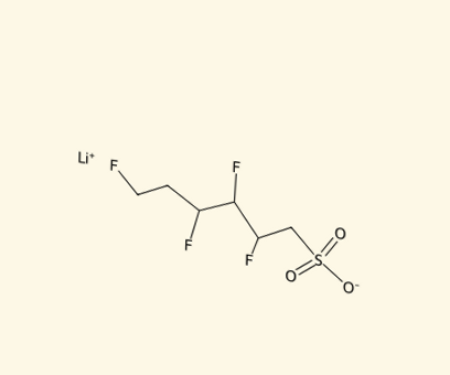 O=S(=O)([O-])CC(F)C(F)C(F)CCF.[Li+]